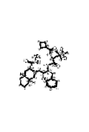 CC(C)(C)NC(=O)[C@@H]1C[C@@H]2CCCC[C@@H]2CN1C[C@@H](O)[C@H](Cc1ccccc1)NC(=O)[C@@H](NC(=O)C1CCC1)C(C)(C)S(C)(=O)=O